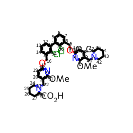 COc1nc(OCc2cccc(-c3cccc(COc4ccc(CN5CCCCC5C(=O)O)c(OC)n4)c3Cl)c2Cl)ccc1CN1CCCCC1C(=O)O